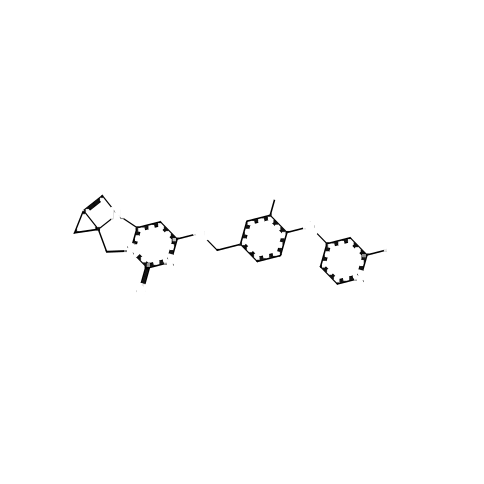 O=c1nc(OCc2ccc(Oc3ccnc(C(F)(F)F)c3)c(F)c2)cc2n1CC13CC1=CN23